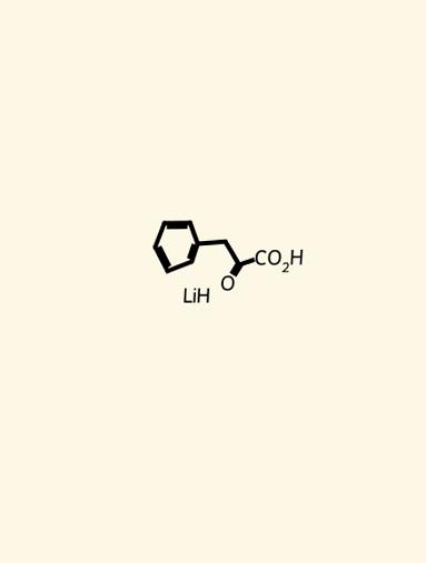 O=C(O)C(=O)Cc1ccccc1.[LiH]